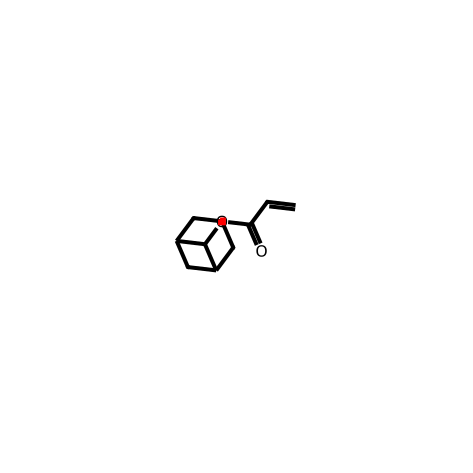 C=CC(=O)OC1C2CCCC1C2